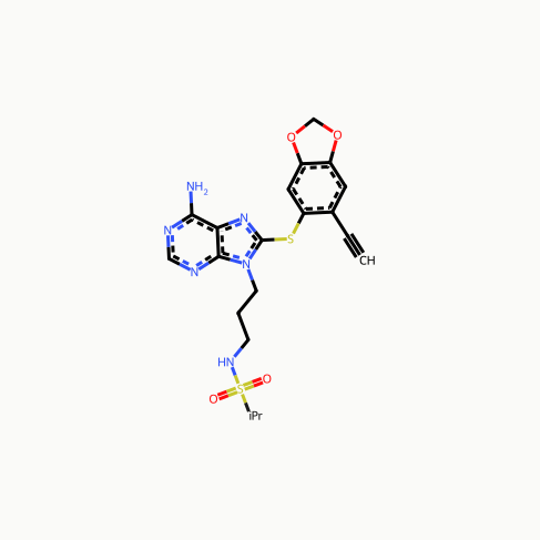 C#Cc1cc2c(cc1Sc1nc3c(N)ncnc3n1CCCNS(=O)(=O)C(C)C)OCO2